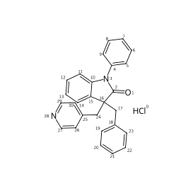 Cl.O=C1N(c2ccccc2)c2ccccc2C1(Cc1ccccc1)Cc1ccncc1